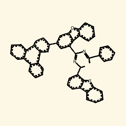 C/C(=N\C(=N/C(C)c1cccc2c1sc1ccccc12)c1cc(-c2ccc3c4ccccc4c4ccccc4c3c2)cc2oc3ccccc3c12)c1ccccc1